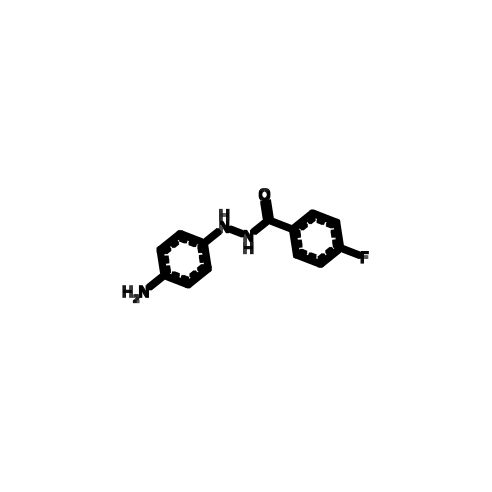 Nc1ccc(NNC(=O)c2ccc(F)cc2)cc1